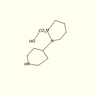 C1CCN(C2CCNCC2)CC1.O=C(O)O